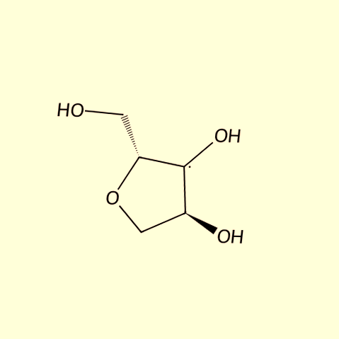 OC[C@H]1OC[C@H](O)[C]1O